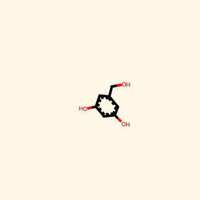 O[CH]c1cc(O)cc(O)c1